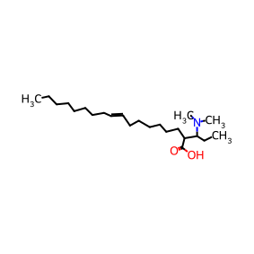 CCCCCCCCC=CCCCCCCC(C(=O)O)C(CC)N(C)C